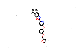 CC(=O)NC(C)c1ccc2nc(-c3ccc(Oc4cccc(OCC5CCCO5)c4)cn3)oc2c1